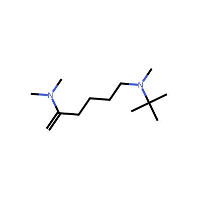 C=C(CCCCN(C)C(C)(C)C)N(C)C